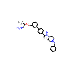 C=C(CN)OCc1cccc(-c2ccc(C(=C)NC3CCN(Cc4ccccc4)CC3)cc2)c1